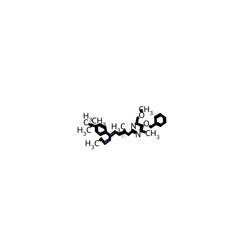 CC\C=C/C(=C\C=C(/C)Cc1nc(C)c(OCc2ccccc2)c(COC)n1)c1ccc(C(C)(C)C)cc1